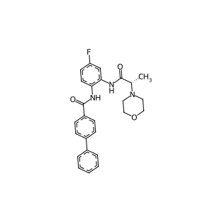 C[C@@H](C(=O)Nc1cc(F)ccc1NC(=O)c1ccc(-c2ccccc2)cc1)N1CCOCC1